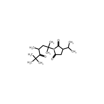 CC(CC(C)(C)N1C(=O)CC(C(C)C)C1=O)C(=O)C(C)(C)C